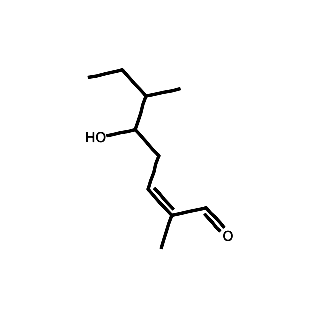 CCC(C)C(O)CC=C(C)C=O